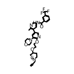 C#CCN1CCC(OCCOc2ncc(-c3cc(NC(=O)c4cccc(C(F)(F)F)c4)cnc3C)cc2N2CCOCC2)CC1